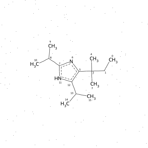 CCC(C)(C)c1nc(C(C)C)[nH]c1C(C)C